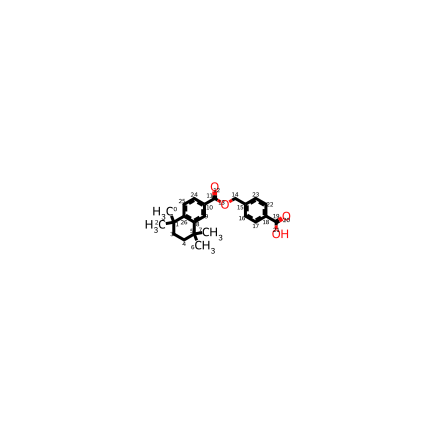 CC1(C)CCC(C)(C)c2cc(C(=O)OCc3ccc(C(=O)O)cc3)ccc21